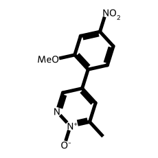 COc1cc([N+](=O)[O-])ccc1-c1cn[n+]([O-])c(C)c1